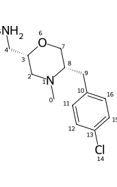 CN1C[C@H](CN)OC[C@@H]1Cc1ccc(Cl)cc1